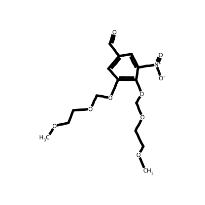 COCCOCOc1cc(C=O)cc([N+](=O)[O-])c1OCOCCOC